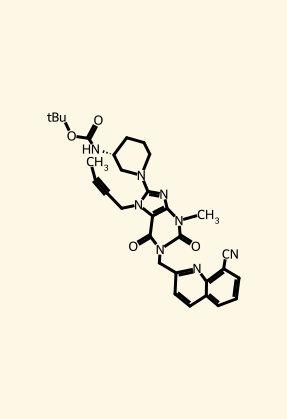 CC#CCn1c(N2CCC[C@@H](NC(=O)OC(C)(C)C)C2)nc2c1c(=O)n(Cc1ccc3cccc(C#N)c3n1)c(=O)n2C